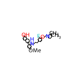 COc1ccc([C@@H]2CCc3cc(O)ccc3C2)c(NCCCc2ccc(OCCN3CCCC(C)(C)C3)c(F)c2)c1